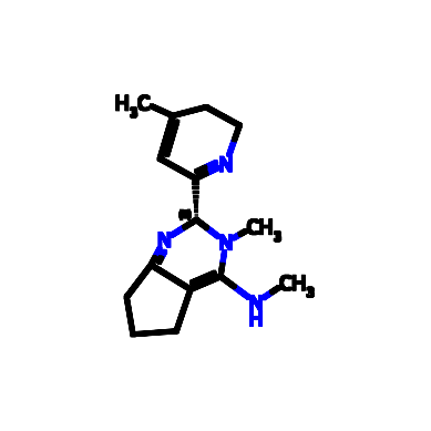 CNC1=C2CCCC2=N[C@H](C2=NCCC(C)=C2)N1C